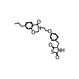 CCCc1ccc2c(c1)OCN(CCOc1ccc(CC3NC(=O)SC3=O)cc1)C2=O